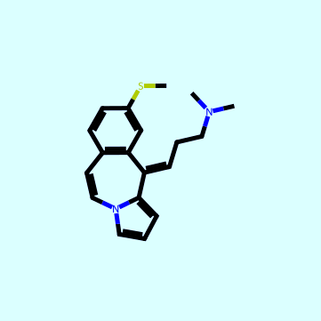 CSc1ccc2c(c1)/C(=C\CCN(C)C)c1cccn1C=C2